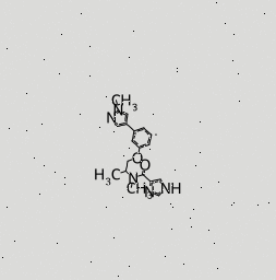 CC(COc1c[c]cc(-c2cnn(C)c2)c1)N(C)C(=O)c1c[nH]cn1